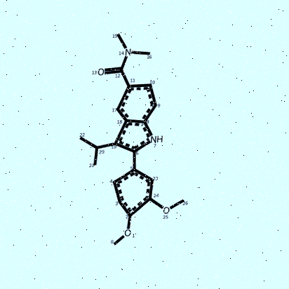 COc1ccc(-c2[nH]c3ccc(C(=O)N(C)C)cc3c2C(C)C)cc1OC